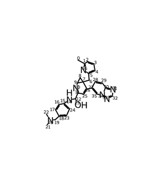 Cc1cccc(CC23CC2N=C(C(O)Nc2ccc(CN(C)C)cc2)C=C3c2ccc3ncnn3c2)n1